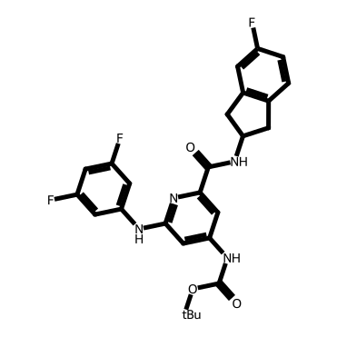 CC(C)(C)OC(=O)Nc1cc(Nc2cc(F)cc(F)c2)nc(C(=O)NC2Cc3ccc(F)cc3C2)c1